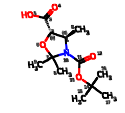 C[C@@H]1[C@@H](C(=O)O)OC(C)(C)N1C(=O)OC(C)(C)C